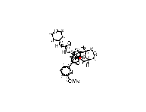 COc1cccc(-c2cnc(N3[C@@H]4COC[C@H]3c3sc(NC(=O)NC5CCOCC5)nc3C4)o2)n1